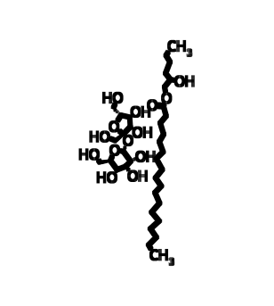 CCCCCCCCCCCCCCCCCC(=O)OCC(O)CCCC.OC[C@H]1O[C@@](CO)(O[C@H]2O[C@H](CO)[C@@H](O)[C@H](O)[C@H]2O)[C@@H](O)[C@@H]1O